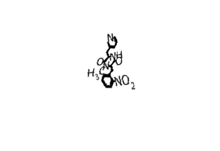 CN1C(=O)C(Cc2cccnc2)NC(=O)C1Cc1ccccc1[N+](=O)[O-]